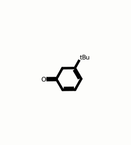 CC(C)(C)C1=CC=CC(=O)C1